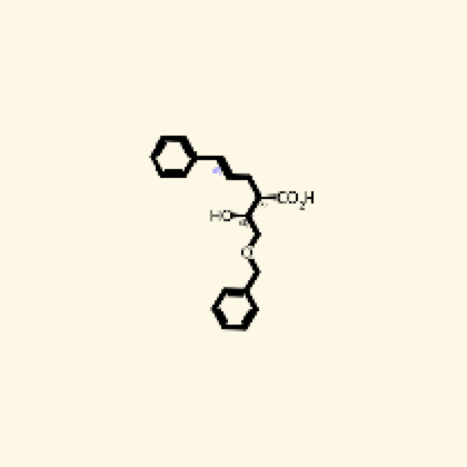 O=C(O)[C@H](C/C=C/c1ccccc1)[C@H](O)COCc1ccccc1